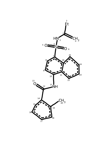 C=C(CC)NS(=O)(=O)c1ccc(NC(=O)c2ccccc2C)c2ccccc12